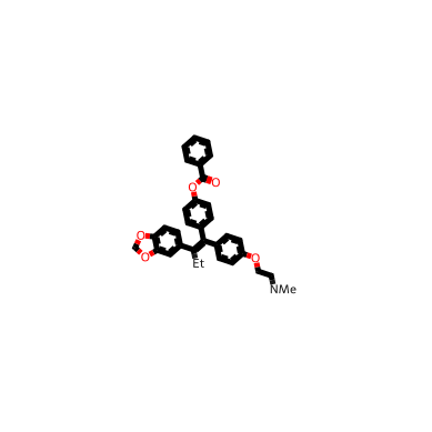 CCC(=C(c1ccc(OCCNC)cc1)c1ccc(OC(=O)c2ccccc2)cc1)c1ccc2c(c1)OCO2